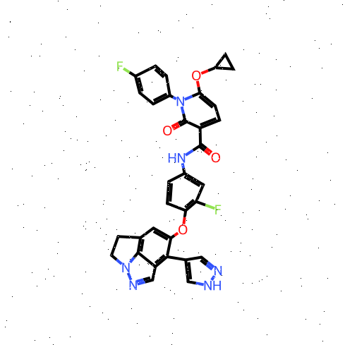 O=C(Nc1ccc(Oc2cc3c4c(cnn4CC3)c2-c2cn[nH]c2)c(F)c1)c1ccc(OC2CC2)n(-c2ccc(F)cc2)c1=O